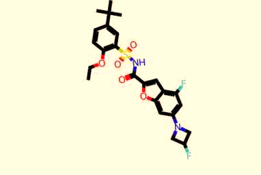 CCOc1ccc(C(C)(C)C)cc1S(=O)(=O)NC(=O)c1cc2c(F)cc(N3CC(F)C3)cc2o1